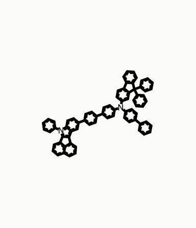 c1ccc(-c2ccc(N(c3ccc(-c4ccc(-c5ccc6c(c5)c5c(n6-c6ccccc6)-c6cccc7cccc-5c67)cc4)cc3)c3ccc4c(c3)C(c3ccccc3)(c3ccccc3)c3ccccc3-4)cc2)cc1